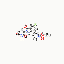 CC(C)(C)OC(=O)N1CCCC(c2cc(F)cc3c2CN(C2CCC(=O)NC2=O)C3=O)C1